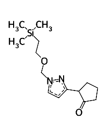 C[Si](C)(C)CCOCn1ccc(C2CCCC2=O)n1